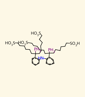 O=S(=O)(O)CCCCCCC(P)(CCCCCCS(=O)(=O)O)c1ccccc1Nc1ccccc1C(P)(CCCCCCS(=O)(=O)O)CCCCCCS(=O)(=O)O